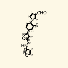 O=Cc1ccn(-c2ccc(-c3cc(CNc4ccon4)on3)cc2F)c1